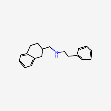 c1ccc(CCNCC2CCc3ccccc3C2)cc1